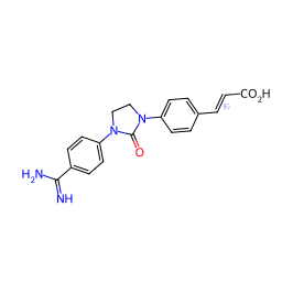 N=C(N)c1ccc(N2CCN(c3ccc(/C=C/C(=O)O)cc3)C2=O)cc1